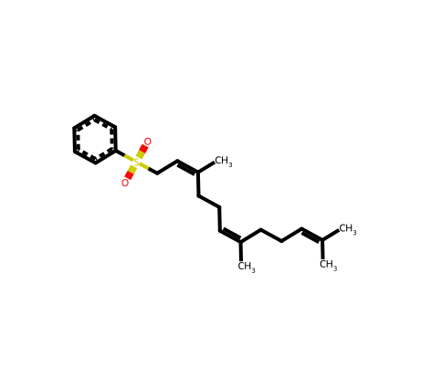 CC(C)=CCCC(C)=CCCC(C)=CCS(=O)(=O)c1ccccc1